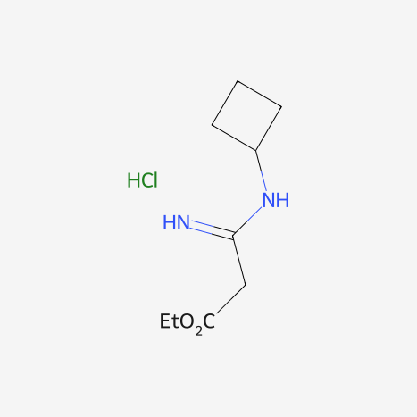 CCOC(=O)CC(=N)NC1CCC1.Cl